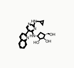 OC[C@H]1C[C@@H](Nc2nc(NC3CC3)ncc2-c2ccc3ccccc3n2)[C@H](O)[C@@H]1O